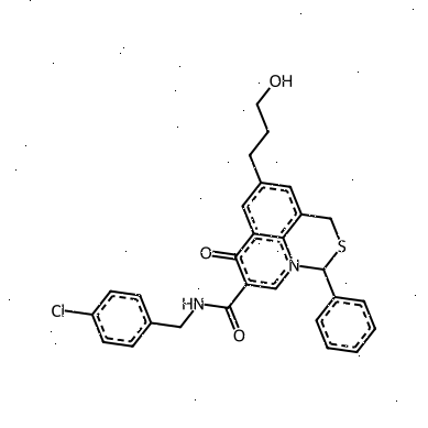 O=C(NCc1ccc(Cl)cc1)c1cn2c3c(cc(CCCO)cc3c1=O)CSC2c1ccccc1